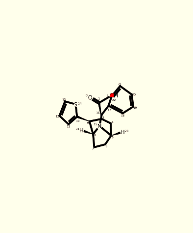 O=C(O)[C@H]1C[C@@H]2CC[C@H]([C@H]1c1cccs1)N2Cc1ccccc1